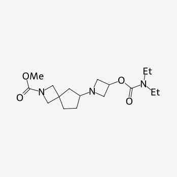 CCN(CC)C(=O)OC1CN(C2CCC3(C2)CN(C(=O)OC)C3)C1